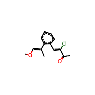 CO/C=C(\C)c1ccccc1/C=C(\Cl)C(C)=O